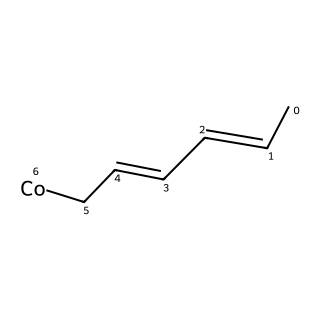 CC=CC=C[CH2][Co]